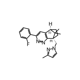 Cc1ccn(C[C@]23CC[C@H](c4cc(-c5ccccc5F)nnc42)C3(C)C)n1